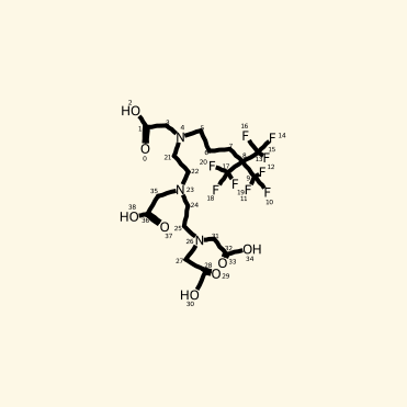 O=C(O)CN(CCCC(C(F)(F)F)(C(F)(F)F)C(F)(F)F)CCN(CCN(CC(=O)O)CC(=O)O)CC(=O)O